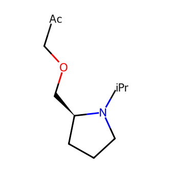 CC(=O)COC[C@@H]1CCCN1C(C)C